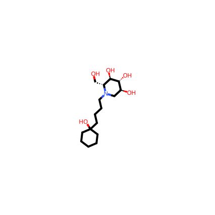 OC[C@@H]1[C@@H](O)[C@H](O)[C@@H](O)CN1CCCCC1(O)CCCCC1